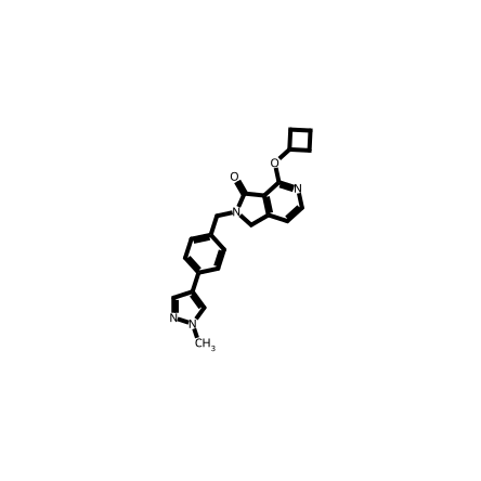 Cn1cc(-c2ccc(CN3Cc4ccnc(OC5CCC5)c4C3=O)cc2)cn1